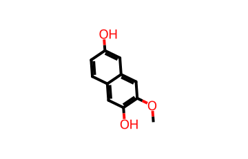 COc1cc2cc(O)ccc2cc1O